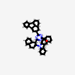 c1ccc(-c2nc(-c3cc4c5c(cccc5c3)-c3ccccc3-4)nc(-c3c(-n4c5ccccc5c5ccccc54)ccc4ccccc34)n2)cc1